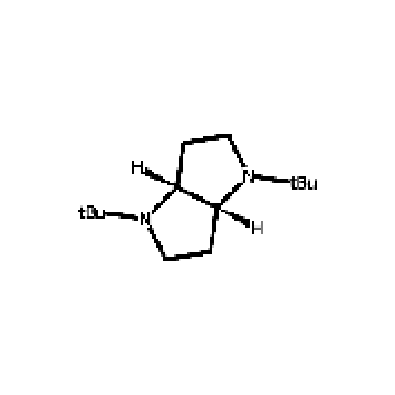 CC(C)(C)N1CC[C@@H]2[C@H]1CCN2C(C)(C)C